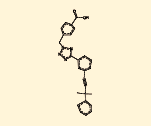 CC(C)(C#Cc1cccc(-c2nnn(Cc3ccc(C(=O)O)cc3)n2)c1)c1ccccc1